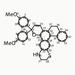 COc1ccc(C2(c3ccc(OC)cc3)C=Cc3c4c(c5cc6c(cc5c3O2)NCCS6)-c2ccccc2CC4)cc1